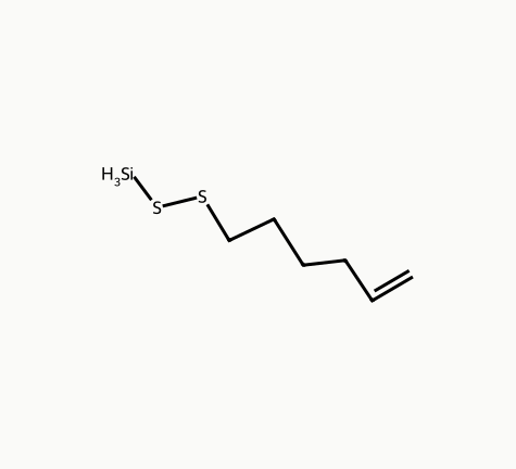 C=CCCCCSS[SiH3]